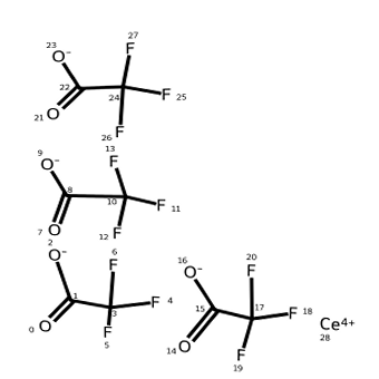 O=C([O-])C(F)(F)F.O=C([O-])C(F)(F)F.O=C([O-])C(F)(F)F.O=C([O-])C(F)(F)F.[Ce+4]